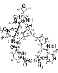 CCn1c(-c2cccnc2C(C)C)c2c3cc(ccc31)-c1cc(O)cc(c1)C[C@H](NC(=O)[C@H](C(C)C)N(C)C(=O)CN(C)C(=O)[C@@H]1N[C@H]1C1COC1)C(=O)N1CCC[C@H](N1)C(=O)OCC(C)(C)C2